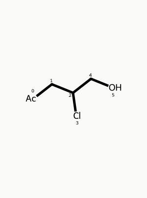 CC(=O)CC(Cl)CO